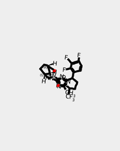 Cc1noc(N2C[C@H]3CC[C@@H](C2)[C@@H]3Nc2nc3n(n2)C(C(F)(F)F)CCC3c2ccc(F)c(F)c2F)n1